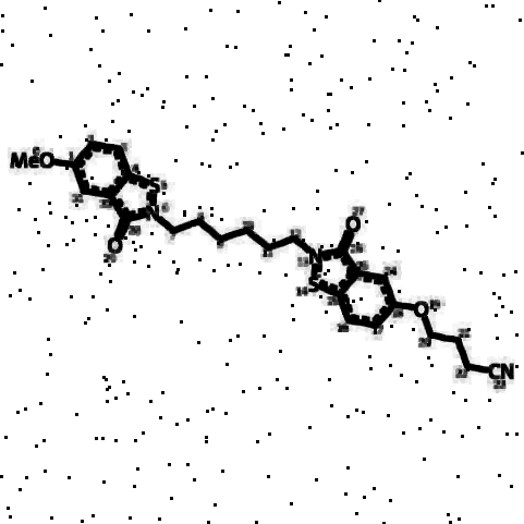 COc1ccc2sn(CCCCCCn3sc4ccc(OCCCC#N)cc4c3=O)c(=O)c2c1